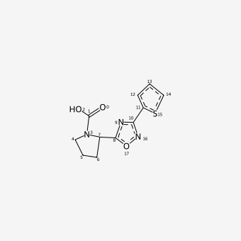 O=C(O)N1CCCC1c1nc(-c2cccs2)no1